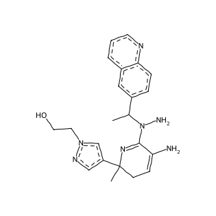 CC(c1ccc2ncccc2c1)N(N)C1=NC(C)(c2cnn(CCO)c2)CC=C1N